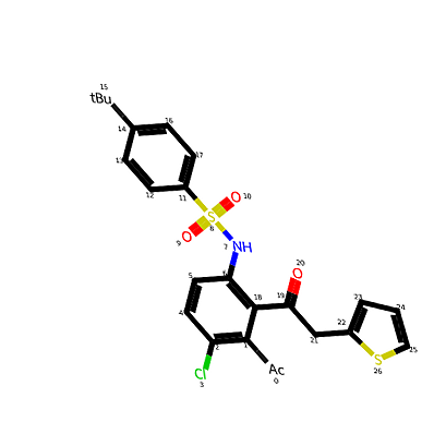 CC(=O)c1c(Cl)ccc(NS(=O)(=O)c2ccc(C(C)(C)C)cc2)c1C(=O)Cc1cccs1